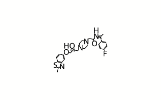 Cc1nc2cc(OC[C@H](O)CN3CCN(CC(=O)N[C@@H](C)c4ccc(F)cc4)CC3)ccc2s1